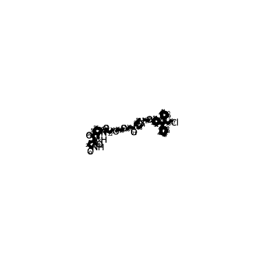 O=C1CCC(N2Cc3c(NC(=O)CCOCCOCCC(=O)N4CCN(CCOc5ccc(C(=C(CCCl)c6ccccc6)c6ccccc6)cc5)CC4)cccc3C2=O)C(=O)N1